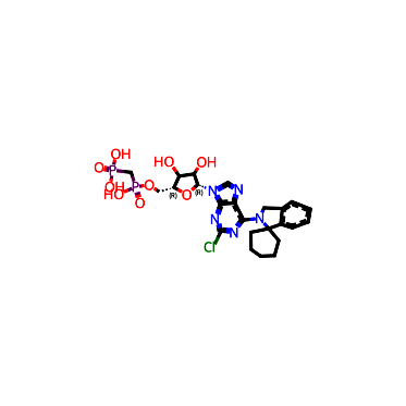 O=P(O)(O)CP(=O)(O)OC[C@H]1O[C@@H](n2cnc3c(N4Cc5ccccc5C45CCCCC5)nc(Cl)nc32)C(O)C1O